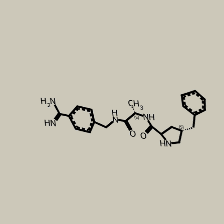 C[C@H](NC(=O)C1C[C@H](Cc2ccccc2)CN1)C(=O)NCc1ccc(C(=N)N)cc1